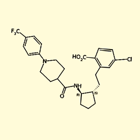 O=C(O)c1ccc(Cl)cc1CC[C@@H]1CCC[C@H]1NC(=O)C1CCN(c2ccc(C(F)(F)F)cc2)CC1